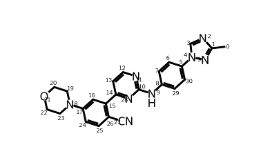 Cc1ncn(-c2ccc(Nc3nccc(-c4cc(N5CCOCC5)ccc4C#N)n3)cc2)n1